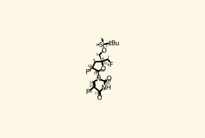 CC(C)(C)[Si](C)(C)OC[C@]1(CF)C[C@H](F)[C@H](n2cc(F)c(=O)[nH]c2=O)O1